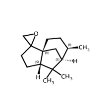 C[C@@H]1CC[C@@]23C[C@@H]1C(C)(C)[C@@H]2CCC31CO1